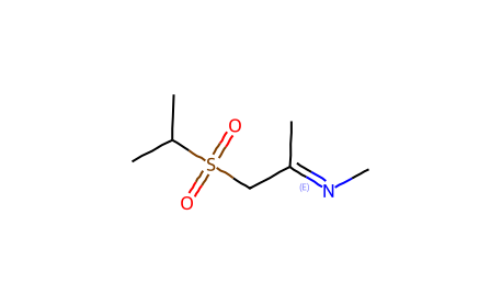 C/N=C(\C)CS(=O)(=O)C(C)C